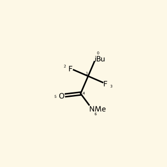 CCC(C)C(F)(F)C(=O)NC